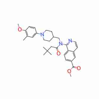 COC(=O)c1ccc2c(N(CC3CCN(c4ccc(OC)c(C)c4)CC3)C(=O)CC(C)(C)C)nccc2c1